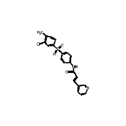 Cc1ccc(S(=O)(=O)c2ccc(NC(=O)C=Cc3cccnc3)cc2)cc1Cl